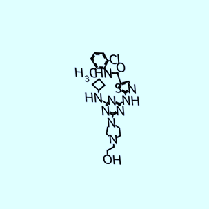 Cc1cccc(Cl)c1NC(=O)c1cnc(Nc2nc(NC3CCC3)nc(N3CCN(CCO)CC3)n2)s1